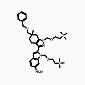 CNc1ccc2cc(-c3nn(COCCS(C)(C)C)c4c3CCC(C)(COCc3ccccc3)C4)n(COCCS(C)(C)C)c2c1